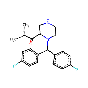 CC(C)C(=O)C1CNCCN1C(c1ccc(F)cc1)c1ccc(F)cc1